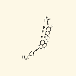 Cc1ccc(C#Cc2cc(F)c3c(F)c(C(F)(F)Oc4cc(F)c5c(F)c(C#CC(F)(F)F)c(F)cc5c4)c(F)cc3c2)cc1